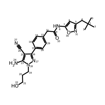 CC(C)(C)Cc1cc(NC(=O)Cc2ccc(-c3nn(CCCO)c(N)c3C#N)cc2)on1